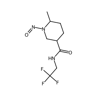 CC1CCC(C(=O)NCC(F)(F)F)CN1N=O